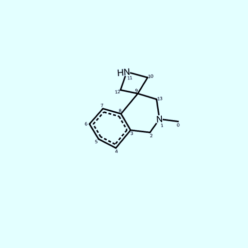 CN1Cc2ccccc2C2(CNC2)C1